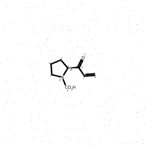 C=CC(=O)[C@@H]1CCCN1C(=O)O